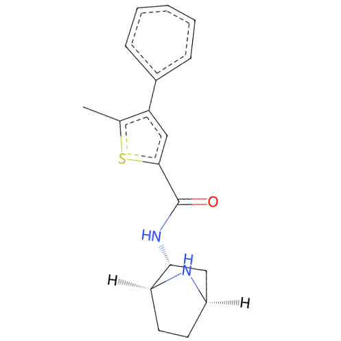 Cc1sc(C(=O)N[C@@H]2C[C@H]3CC[C@@H]2N3)cc1-c1ccccc1